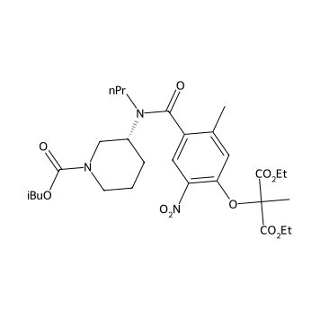 CCCN(C(=O)c1cc([N+](=O)[O-])c(OC(C)(C(=O)OCC)C(=O)OCC)cc1C)[C@@H]1CCCN(C(=O)OCC(C)C)C1